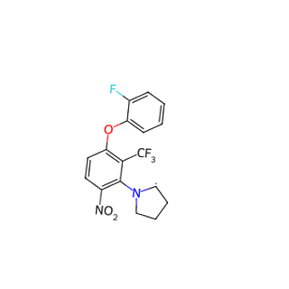 O=[N+]([O-])c1ccc(Oc2ccccc2F)c(C(F)(F)F)c1N1[CH]CCC1